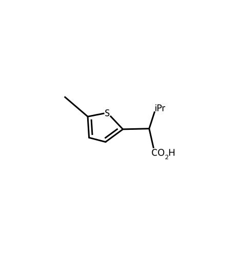 Cc1ccc(C(C(=O)O)C(C)C)s1